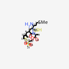 CSCCC(N)C(CC(Cc1ccsc1)C(=O)NC(C)C(=O)OCCS(C)(=O)=O)SS